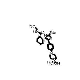 CC(C)(C)c1nc([C@@H]2CCCC[C@H]2C(=O)NCC#N)c(-c2ccc(N3CCS(O)(O)CC3)cc2)s1